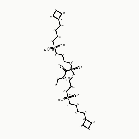 CCOC(=O)P(=O)(OCCCS(=O)(=O)CCCCC1CCC1)OCCCS(=O)(=O)CCCCC1CCC1